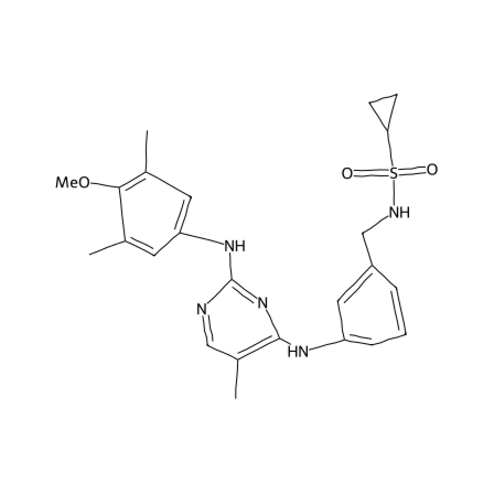 COc1c(C)cc(Nc2ncc(C)c(Nc3cccc(CNS(=O)(=O)C4CC4)c3)n2)cc1C